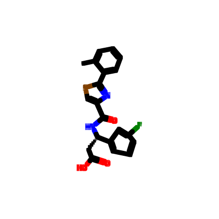 Cc1ccccc1-c1nc(C(=O)N[C@@H](CC(=O)O)c2cccc(F)c2)cs1